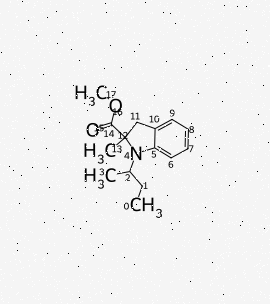 CCC(C)N1c2ccccc2CC1(C)C(=O)OC